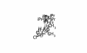 CCC(C[Si](C)(C)O[Si](C)(C)CCC[SiH](Cl)Cl)N([Si](C(C)C)(C(C)C)C(C)C)[Si](C(C)C)(C(C)C)C(C)C